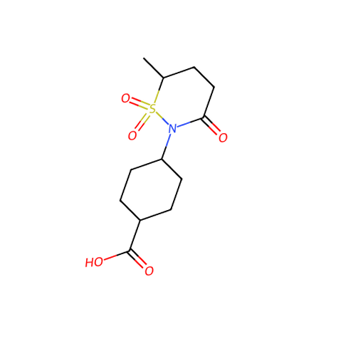 CC1CCC(=O)N(C2CCC(C(=O)O)CC2)S1(=O)=O